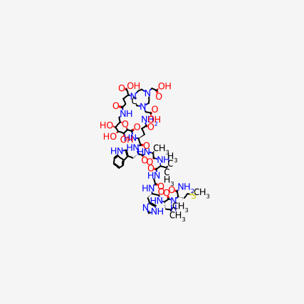 CSCC[C@H](NC(=O)[C@H](CC(C)C)NC(=O)[C@H](Cc1c[nH]cn1)NC(=O)CNC(=O)[C@@H](NC(=O)[C@H](C)NC(=O)[C@H](Cc1c[nH]c2ccccc12)NC(=O)[C@H](CCC(N)=O)NC(=O)C1OC(CNC(=O)CCC(C(=O)O)N2CCN(CC(=O)O)CCN(CC(=O)O)CC2)C(O)C(O)C1O)C(C)C)C(N)=O